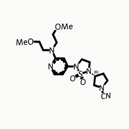 COCCN(CCOC)c1cc(N2CCN([C@@H]3CCN(C#N)C3)S2(=O)=O)ccn1